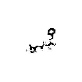 Cc1[nH]cnc1CC(=S)N[C@H](C(=O)OCc1ccccc1)C(C)C